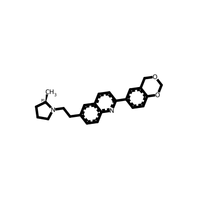 C[C@@H]1CCCN1CCc1ccc2nc(-c3ccc4c(c3)COCO4)ccc2c1